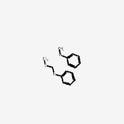 COCOc1ccccc1.COc1ccccc1